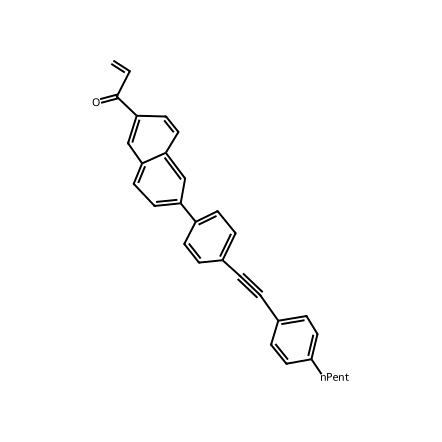 C=CC(=O)c1ccc2cc(-c3ccc(C#Cc4ccc(CCCCC)cc4)cc3)ccc2c1